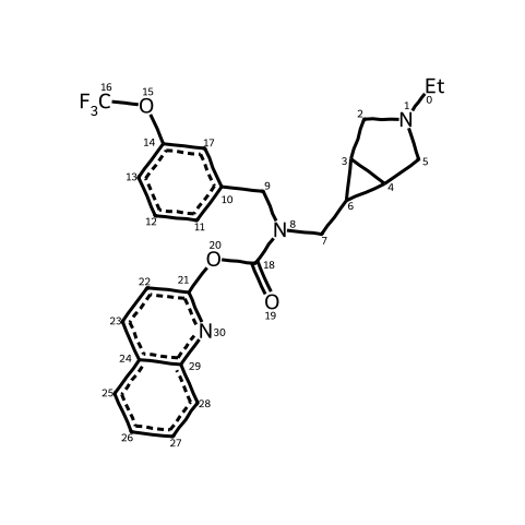 CCN1CC2C(C1)C2CN(Cc1cccc(OC(F)(F)F)c1)C(=O)Oc1ccc2ccccc2n1